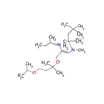 CC/C(C)=N\C(=C/N(C)C(C)(C)CC(C)(C)C)COC(C)(C)CCOC(C)C